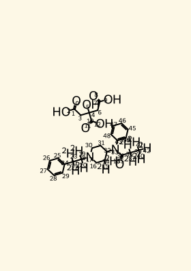 O=C(O)CC(O)(CC(=O)O)C(=O)O.[2H]C1([2H])CN(C([2H])([2H])C([2H])([2H])c2ccccc2)CCC1N(C(=O)C([2H])([2H])C([2H])([2H])[2H])c1ccccc1